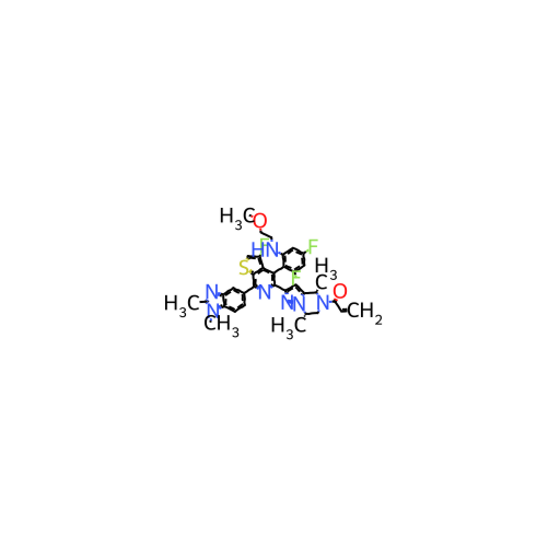 C=CC(=O)N1C[C@H](C)n2nc(-c3nc(-c4ccc5c(c4)nc(C)n5C)c4scc(F)c4c3-c3c(F)cc(F)cc3NCCOC)cc2[C@H]1C